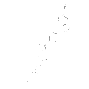 CC(C)Nc1cc(-n2ncc3cc(C#N)cnc32)ncc1-c1cn([C@H]2CCN(C(=O)OC(C)(C)C)C[C@@H]2O)nn1